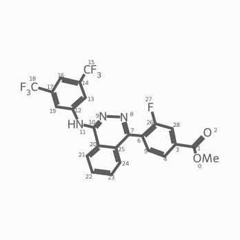 COC(=O)c1ccc(-c2nnc(Nc3cc(C(F)(F)F)cc(C(F)(F)F)c3)c3ccccc23)c(F)c1